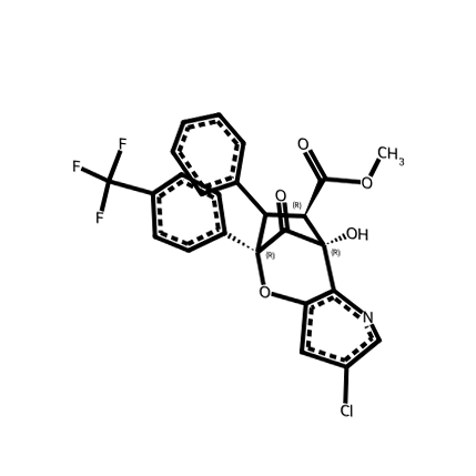 COC(=O)[C@@H]1C(c2ccccc2)[C@]2(c3ccc(C(F)(F)F)cc3)Oc3cc(Cl)cnc3[C@@]1(O)C2=O